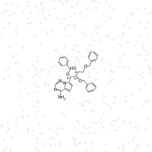 Nc1ncnn2c([C@H](OCc3ccccc3)[C@H](OCc3ccccc3)[C@H](O)COCc3ccccc3)ccc12